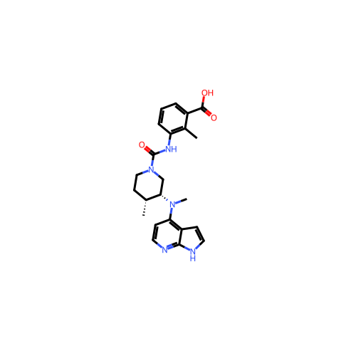 Cc1c(NC(=O)N2CC[C@@H](C)[C@@H](N(C)c3ccnc4[nH]ccc34)C2)cccc1C(=O)O